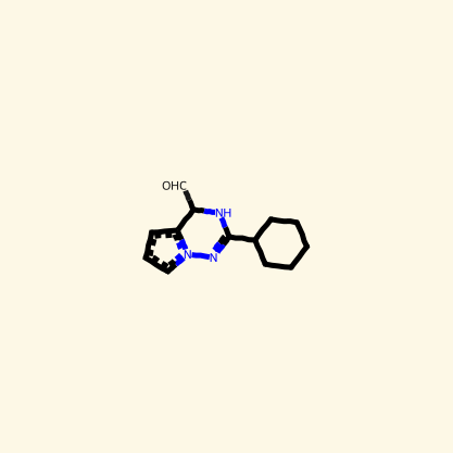 O=CC1NC(C2CCCCC2)=Nn2cccc21